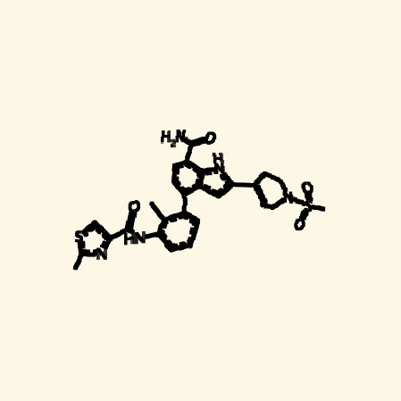 Cc1nc(C(=O)Nc2cccc(-c3ccc(C(N)=O)c4[nH]c(C5=CCN(S(C)(=O)=O)CC5)cc34)c2C)cs1